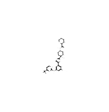 Cc1cc(Nc2nccc(C(F)(F)F)n2)cc(-c2cnc([C@]3(O)CC[C@@H](NC(=O)C4CCCCO4)CC3)s2)c1